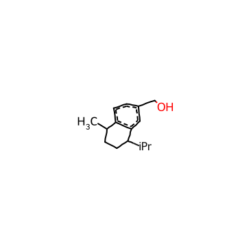 CC1CCC(C(C)C)c2cc(CO)ccc21